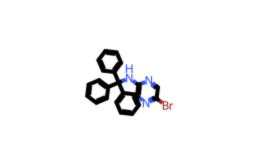 Brc1cnc(NC(c2ccccc2)(c2ccccc2)c2ccccc2)cn1